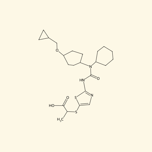 CC(Sc1cnc(NC(=O)N(C2CCCCC2)C2CCC(OCC3CC3)CC2)s1)C(=O)O